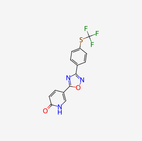 O=c1ccc(-c2nc(-c3ccc(SC(F)(F)F)cc3)no2)c[nH]1